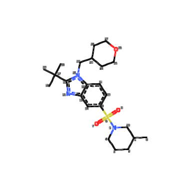 CC1CCCN(S(=O)(=O)c2ccc3c(c2)nc(C(C)(C)C)n3CC2CCOCC2)C1